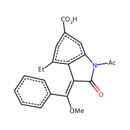 CCc1cc(C(=O)O)cc2c1C(=C(OC)c1ccccc1)C(=O)N2C(C)=O